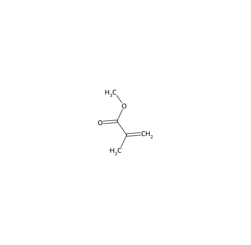 [CH2]C(=C)C(=O)OC